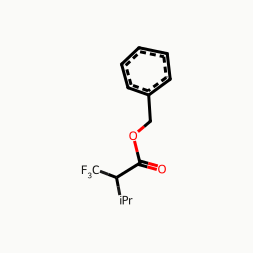 CC(C)C(C(=O)OCc1ccccc1)C(F)(F)F